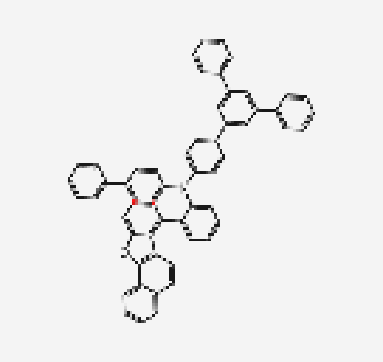 c1ccc(-c2ccc(N(c3ccc(-c4cc(-c5ccccc5)cc(-c5ccccc5)c4)cc3)c3ccccc3-c3cccc4oc5c6ccccc6ccc5c34)cc2)cc1